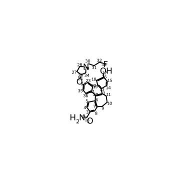 NC(=O)c1ccc2c(c1)CCCC(c1ccc(O)cc1)=C2c1ccc(O[C@H]2CCN(CCCF)C2)cc1